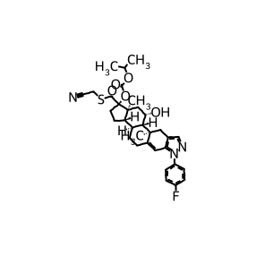 CC(C)OC(=O)O[C@]1(C(=O)SCC#N)CC[C@H]2[C@@H]3CCC4=Cc5c(cnn5-c5ccc(F)cc5)C[C@]4(C)[C@H]3[C@@H](O)C[C@@]21C